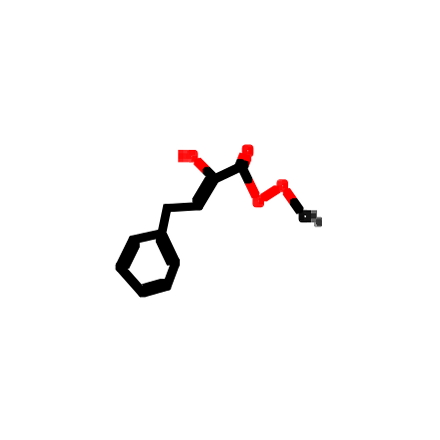 COOC(=O)C(O)=CCc1ccccc1